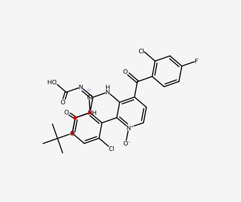 CC(C)(C)OC(=O)N/C(=N\C(=O)O)Nc1c(C(=O)c2ccc(F)cc2Cl)cc[n+]([O-])c1-c1c(Cl)cccc1Cl